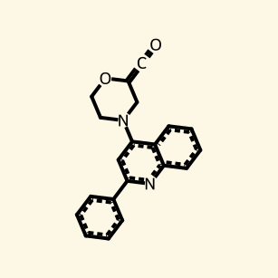 O=C=C1CN(c2cc(-c3ccccc3)nc3ccccc23)CCO1